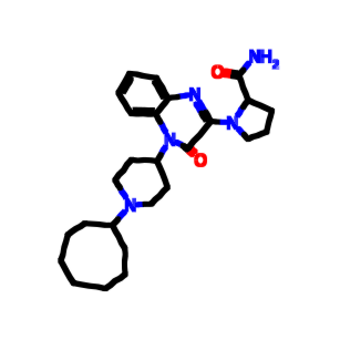 NC(=O)C1CCCN1c1nc2ccccc2n(C2CCN(C3CCCCCCC3)CC2)c1=O